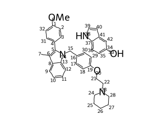 COc1ccc(-c2c(C)c3ccccc3n2Cc2ccc(OCCN3CCCCC3)cc2)cc1.Oc1ccc2[nH]ccc2c1